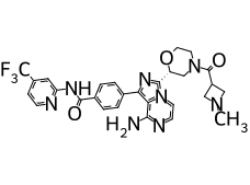 CN1CC(C(=O)N2CCO[C@@H](c3nc(-c4ccc(C(=O)Nc5cc(C(F)(F)F)ccn5)cc4)c4c(N)nccn34)C2)C1